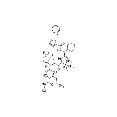 CCC[C@H](NC(=O)[C@@H]1[C@H]2CCC(F)(F)[C@H]2CN1C(=O)C(NC(=O)C(NC(=O)c1nccn1CC1=CC=CCC1)C1CCCCC1)C(C)(C)C)C(O)C(=O)NC1CC1